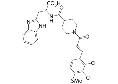 CSc1ccc(C=CC(=O)N2CCC(C(=O)NC(Cc3nc4ccccc4[nH]3)C(=O)O)CC2)c(Cl)c1Cl